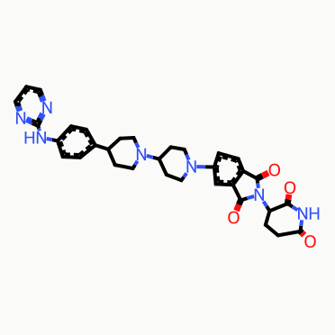 O=C1CCC(N2C(=O)c3ccc(N4CCC(N5CCC(c6ccc(Nc7ncccn7)cc6)CC5)CC4)cc3C2=O)C(=O)N1